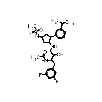 CC(=O)NC(Cc1cc(F)cc(F)c1)C(O)CNC1CC(NS(C)(=O)=O)CC1c1cccc(C(C)C)c1